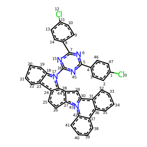 Clc1ccc(-c2nc(-c3ccc(Cl)cc3)nc(-n3c4ccccc4c4ccc5c(cc6c7ccccc7c7ccccc7n65)c43)n2)cc1